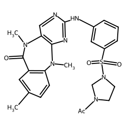 CC(=O)N1CCN(S(=O)(=O)c2cccc(Nc3ncc4c(n3)N(C)c3ccc(C)cc3C(=O)N4C)c2)C1